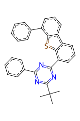 CC(C)(C)c1nc(-c2ccccc2)nc(-c2cccc3c2sc2c(-c4ccccc4)cccc23)n1